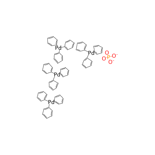 O=P([O-])([O-])[O-].c1cc[c]([Pd]([c]2ccccc2)[c]2ccccc2)cc1.c1cc[c]([Pd]([c]2ccccc2)[c]2ccccc2)cc1.c1cc[c]([Pd]([c]2ccccc2)[c]2ccccc2)cc1.c1cc[c]([Pd]([c]2ccccc2)[c]2ccccc2)cc1